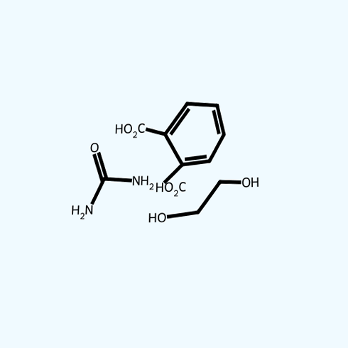 NC(N)=O.O=C(O)c1ccccc1C(=O)O.OCCO